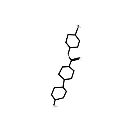 CCCCC1CCC(C2CCC(C(=O)OC3CCC(CC)CC3)CC2)CC1